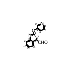 O=CC1OC(Oc2cccnc2)=Nc2ccccc21